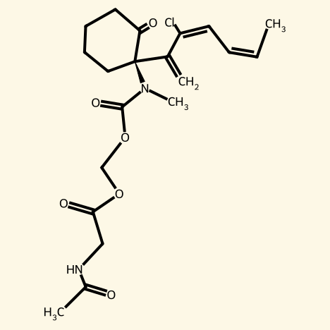 C=C(/C(Cl)=C\C=C/C)[C@]1(N(C)C(=O)OCOC(=O)CNC(C)=O)CCCCC1=O